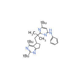 CC(C)(C)c1cc(Nc2ccccc2)nc(C(C)(C)CC2CCc3nc(C(C)(C)C)nc(C(C)(C)C)c32)n1